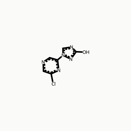 Oc1ncn(-c2cncc(Cl)n2)n1